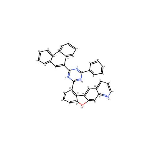 c1ccc(-c2nc(-c3cc4ccccc4c4ccccc34)nc(-c3cccc4oc5cc6ncccc6cc5c34)n2)cc1